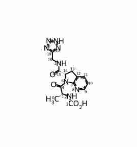 C[C@@H](NC(=O)O)C(=O)N1c2ncccc2C[C@H]1C(=O)NCc1nn[nH]n1